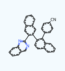 N#Cc1ccc(-c2c(-c3cc4ccccc4cc3-c3ncc4ccccc4n3)ccc3ccccc23)cc1